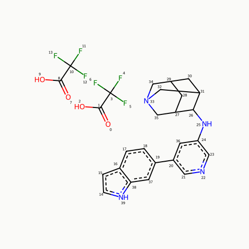 O=C(O)C(F)(F)F.O=C(O)C(F)(F)F.c1cc2ccc(-c3cncc(NC4C5CC6CC4CN(C6)C5)c3)cc2[nH]1